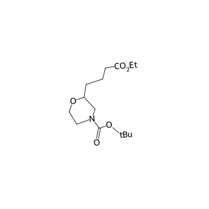 CCOC(=O)CCCC1CN(C(=O)OC(C)(C)C)CCO1